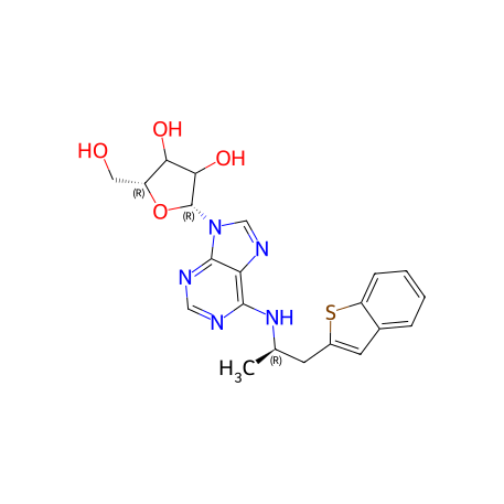 C[C@H](Cc1cc2ccccc2s1)Nc1ncnc2c1ncn2[C@@H]1O[C@H](CO)C(O)C1O